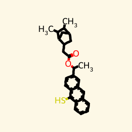 CC(OC(=O)CC1CC2CC1C(C)C2C)c1ccc2c(S)c3ccccc3cc2c1